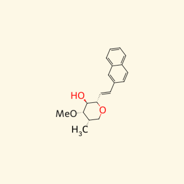 CO[C@@H]1[C@@H](O)[C@H](C=Cc2ccc3ccccc3c2)OC[C@@H]1C